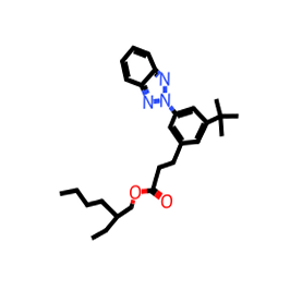 CCCCC(CC)COC(=O)CCc1cc(-n2nc3ccccc3n2)cc(C(C)(C)C)c1